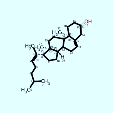 C/C(=C/CCC(C)C)[C@H]1CC[C@H]2C3CC=C4C[C@@H](O)CC[C@]4(C)C3CC[C@]12C